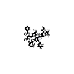 CCCCCC(/C=C/C1[C@@H](CC(O)C(C)(F)CCCC(CC(=O)OC)OC(=O)c2ccccc2)[C@@H](O[C@@H]2C=CC=CO2)C[C@H]1O[C@@H]1C=CC=CO1)O[Si](C)(C)C(C)(C)C